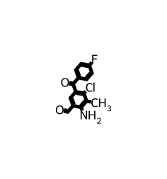 Cc1c(N)c(C=O)cc(C(=O)c2ccc(F)cc2)c1Cl